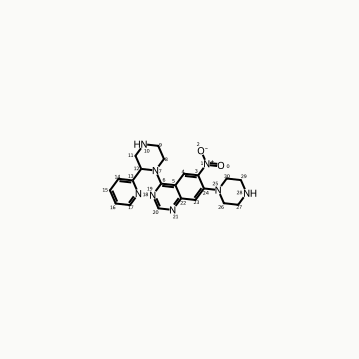 O=[N+]([O-])c1cc2c(N3CCNCC3c3ccccn3)ncnc2cc1N1CCNCC1